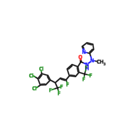 CN(NC(=O)c1ccc(C(F)=CC(c2cc(Cl)c(Cl)c(Cl)c2)C(F)(F)F)cc1C(F)(F)F)c1ccccn1